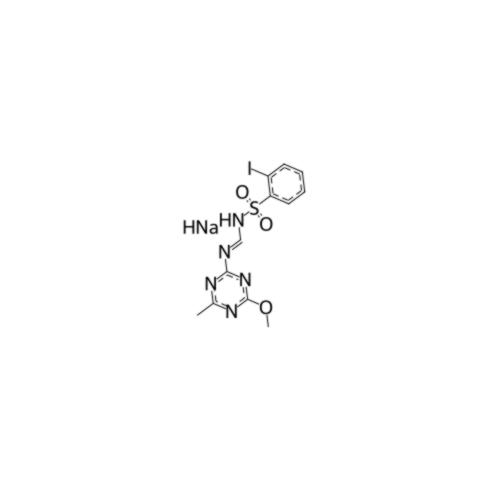 COc1nc(C)nc(N=CNS(=O)(=O)c2ccccc2I)n1.[NaH]